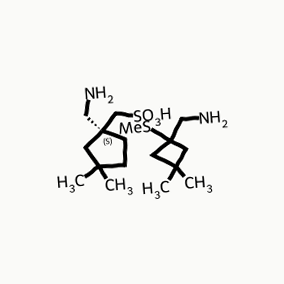 CC1(C)CC[C@](CN)(CS(=O)(=O)O)C1.CSC1(CN)CC(C)(C)C1